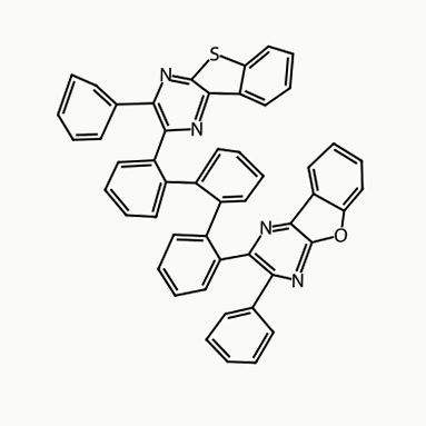 c1ccc(-c2nc3oc4ccccc4c3nc2-c2ccccc2-c2ccccc2-c2ccccc2-c2nc3c(nc2-c2ccccc2)sc2ccccc23)cc1